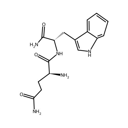 NC(=O)CC[C@H](N)C(=O)N[C@@H](Cc1c[nH]c2ccccc12)C(N)=O